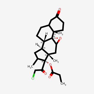 CCC(=O)O[C@]1(C(=O)CCl)C(C)C[C@H]2[C@@H]3CCC4CC(=O)CC[C@]4(C)[C@]34OC4C[C@@]21C